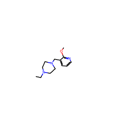 CCN1CCN(Cc2cccnc2OC)CC1